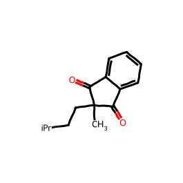 CC(C)CCC1(C)C(=O)c2ccccc2C1=O